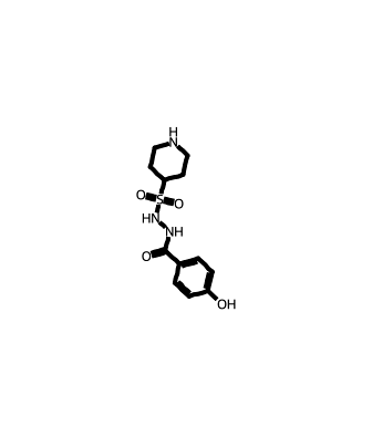 O=C(NNS(=O)(=O)C1CCNCC1)c1ccc(O)cc1